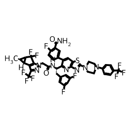 C[C@H]1C2[C@H]1c1c(C(F)(F)F)nn(CC(=O)N[C@@H](Cc3cc(F)cc(F)c3)c3nc4nc(N5CCN(c6ccc(C(F)(F)F)cc6)CC5)sc4cc3-c3ccc(F)c(C(N)=O)c3)c1C2(F)F